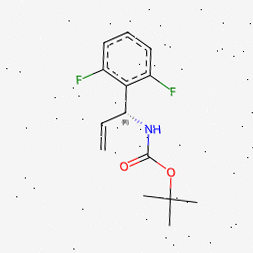 C=C[C@@H](NC(=O)OC(C)(C)C)c1c(F)cccc1F